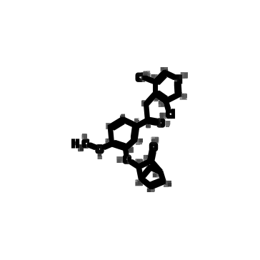 COc1ccc(C(=O)Cc2c(Cl)cncc2Cl)cc1OC1C(=O)C2C=CC1C2